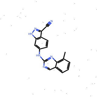 Cc1cccc2cnc(Nc3ccc4c(C#N)n[nH]c4c3)nc12